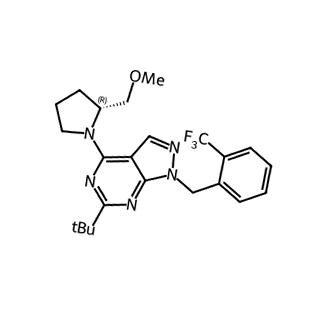 COC[C@H]1CCCN1c1nc(C(C)(C)C)nc2c1cnn2Cc1ccccc1C(F)(F)F